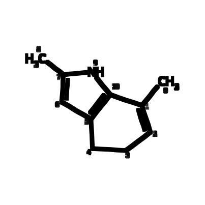 CC1=CCCc2cc(C)[nH]c21